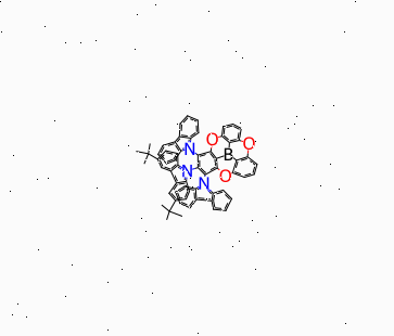 CC(C)(C)c1ccc2c(c1)c1cc(C(C)(C)C)ccc1n2-c1c(-n2c3ccccc3c3ccccc32)c2c3c(c1-n1c4ccccc4c4ccccc41)Oc1cccc4c1B3c1c(cccc1O2)O4